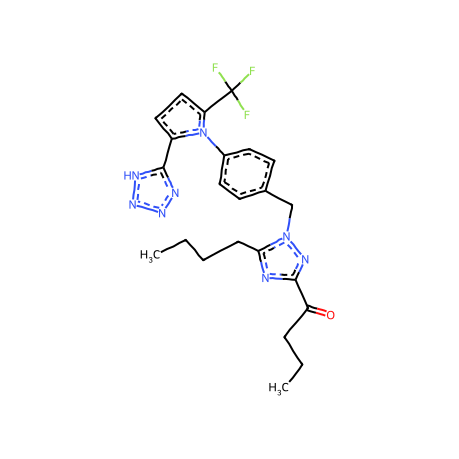 CCCCc1nc(C(=O)CCC)nn1Cc1ccc(-n2c(-c3nnn[nH]3)ccc2C(F)(F)F)cc1